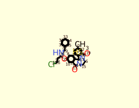 Cc1ccc(C23c4ccccc4C(=O)N2CCN3C(=O)S)cc1.O=C(CCCl)NCc1ccccc1